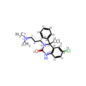 CN(C)CCCN1C(=O)Nc2ccc(Cl)cc2C1(c1ccccc1)C(Cl)(Cl)Cl